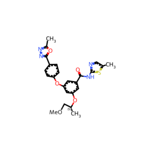 COC[C@H](C)Oc1cc(Oc2ccc(-c3nnc(C)o3)cc2)cc(C(=O)Nc2ncc(C)s2)c1